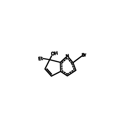 CCC1(O)C=Cc2ccc(Br)nc21